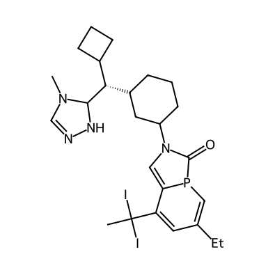 CCc1cc(C(C)(I)I)c2cn(C3CCCC([C@@H](C4CCC4)C4NN=CN4C)C3)c(=O)p2c1